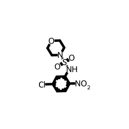 O=[N+]([O-])c1ccc(Cl)cc1NS(=O)(=O)N1CCOCC1